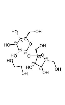 OCCO.OC[C@H]1O[C@@](CO)(O[C@H]2O[C@H](CO)[C@@H](O)[C@H](O)[C@H]2O)[C@@H](O)[C@@H]1O